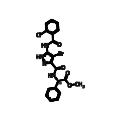 COC(=O)[C@H](NC(=O)c1n[nH]c(NC(=O)c2ccccc2Cl)c1Br)c1ccccc1